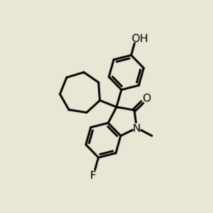 CN1C(=O)C(c2ccc(O)cc2)(C2CCCCCC2)c2ccc(F)cc21